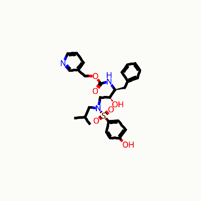 CC(C)CN(C[C@@H](O)[C@H](Cc1ccccc1)NC(=O)OCc1cccnc1)S(=O)(=O)c1ccc(O)cc1